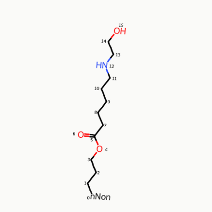 CCCCCCCCCCCCOC(=O)CCCCCNCCO